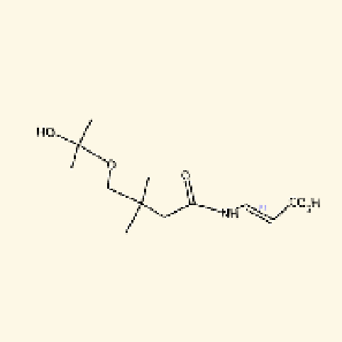 CC(C)(COC(C)(C)O)CC(=O)N/C=C/C(=O)O